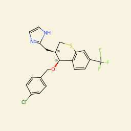 FC(F)(F)c1ccc2c(c1)SC[C@H](Cc1ncc[nH]1)[C@@H]2OCc1ccc(Cl)cc1